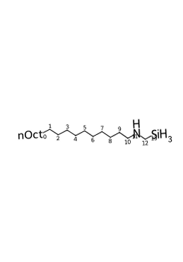 CCCCCCCCCCCCCCCCCCNC[SiH3]